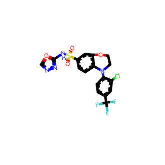 O=S(=O)(Nc1nnco1)c1ccc2c(c1)OCCN2c1ccc(C(F)(F)F)cc1Cl